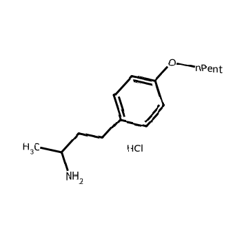 CCCCCOc1ccc(CCC(C)N)cc1.Cl